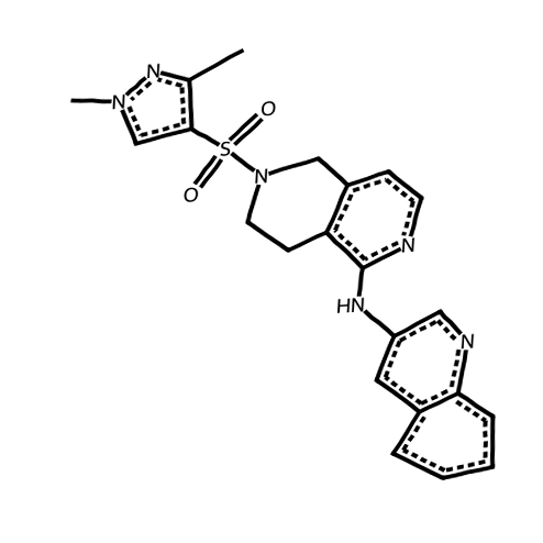 Cc1nn(C)cc1S(=O)(=O)N1CCc2c(ccnc2Nc2cnc3ccccc3c2)C1